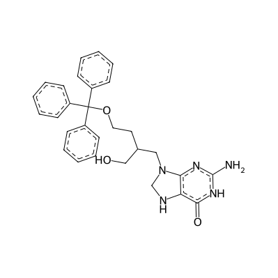 Nc1nc2c(c(=O)[nH]1)NCN2CC(CO)CCOC(c1ccccc1)(c1ccccc1)c1ccccc1